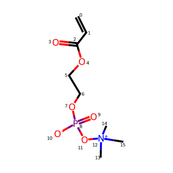 C=CC(=O)OCCOP(=O)([O-])O[N+](C)(C)C